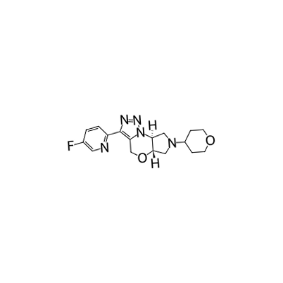 Fc1ccc(-c2nnn3c2CO[C@H]2CN(C4CCOCC4)C[C@@H]23)nc1